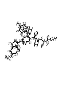 CC(C)(O)C(F)CNC(=O)c1cnc(-c2ccc3cc(C#N)cnn23)cc1NC12CCC(F)(CC1)CC2